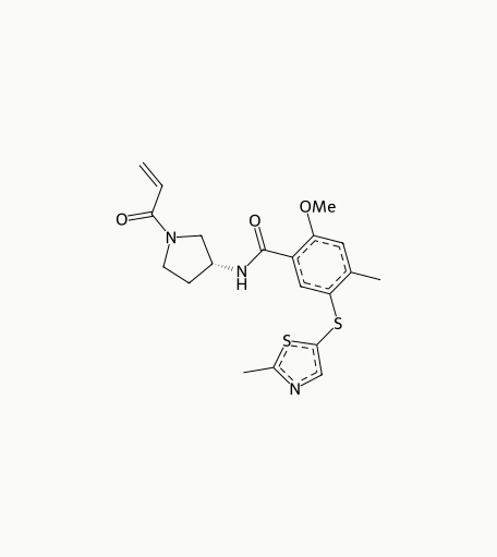 C=CC(=O)N1CC[C@@H](NC(=O)c2cc(Sc3cnc(C)s3)c(C)cc2OC)C1